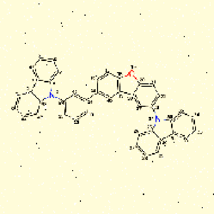 C1=CC2c3ccccc3N(c3cccc(-c4ccc5oc6ccc(-n7c8ccccc8c8ccccc87)cc6c5c4)c3)C2C=C1